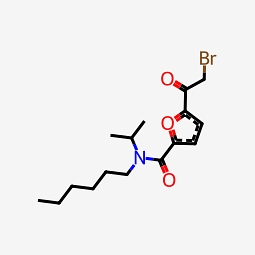 CCCCCCN(C(=O)c1ccc(C(=O)CBr)o1)C(C)C